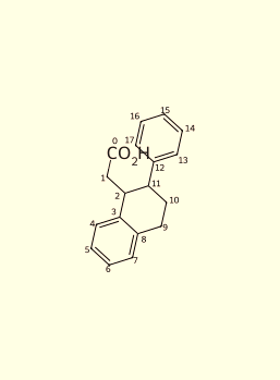 O=C(O)CC1c2ccccc2CCC1c1ccccc1